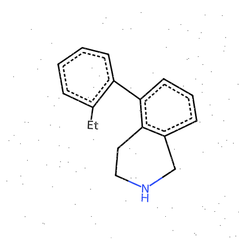 CCc1ccccc1-c1cccc2c1CCNC2